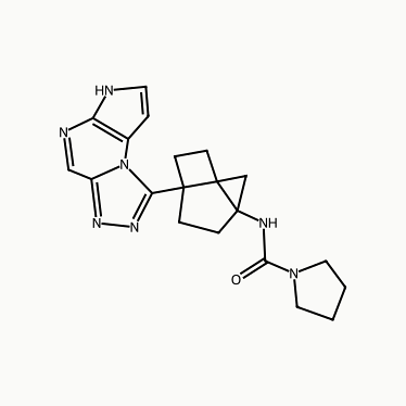 O=C(NC12CCC3(c4nnc5cnc6[nH]ccc6n45)CCC13C2)N1CCCC1